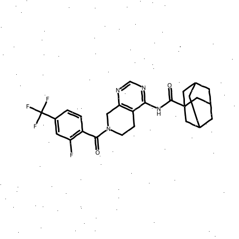 O=C(c1ccc(C(F)(F)F)cc1F)N1CCc2c(ncnc2NC(=O)C23CC4CC(CC(C4)C2)C3)C1